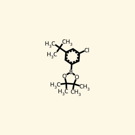 CC(C)(C)c1cc(Cl)cc(B2OC(C)(C)C(C)(C)O2)c1